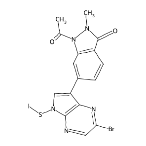 CC(=O)n1c2cc(-c3cn(SI)c4ncc(Br)nc34)ccc2c(=O)n1C